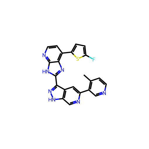 Cc1ccncc1-c1cc2c(-c3nc4c(-c5ccc(F)s5)ccnc4[nH]3)n[nH]c2cn1